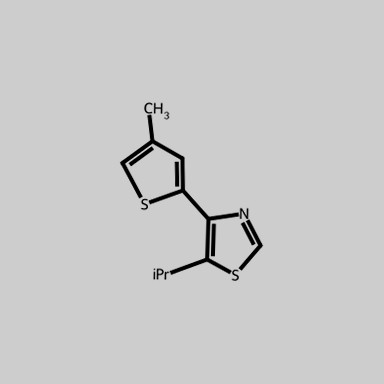 Cc1csc(-c2ncsc2C(C)C)c1